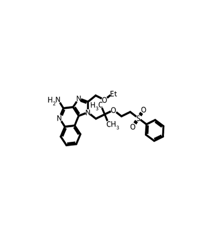 CCOCc1nc2c(N)nc3ccccc3c2n1CC(C)(C)OCCS(=O)(=O)c1ccccc1